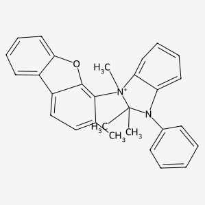 Cc1ccc2c(oc3ccccc32)c1[N+]1(C)c2ccccc2N(c2ccccc2)C1(C)C